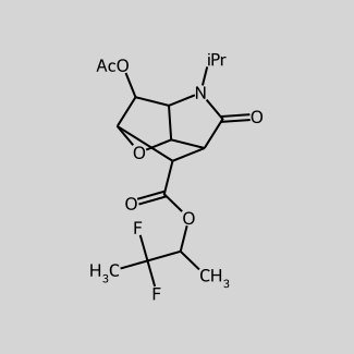 CC(=O)OC1C2OC3C(C(=O)N(C(C)C)C13)C2C(=O)OC(C)C(C)(F)F